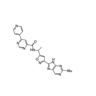 CC(NC(=O)c1cc(-c2ccncc2)ncn1)c1cc(-c2nc3cnc(C(C)(C)C)nc3[nH]2)no1